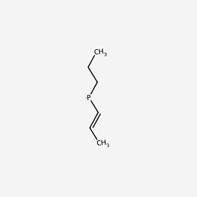 CC=C[P]CCC